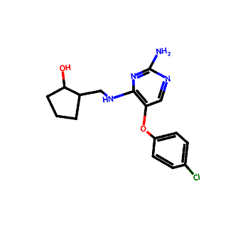 Nc1ncc(Oc2ccc(Cl)cc2)c(NCC2CCCC2O)n1